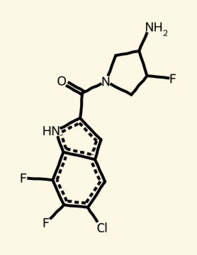 NC1CN(C(=O)c2cc3cc(Cl)c(F)c(F)c3[nH]2)CC1F